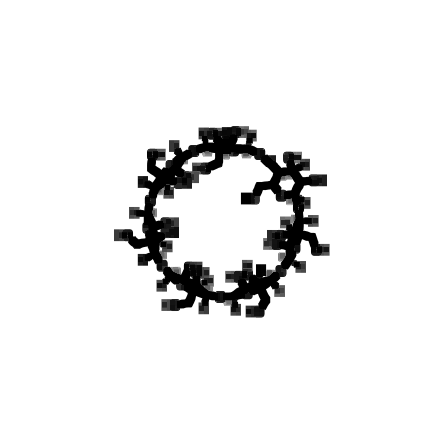 OCC1O[C@@H]2O[C@@H]3C(CO)O[C@H](O[C@@H]4C(CO)O[C@@H](O[C@@H]5C(CO)O[C@@H](O[C@@H]6C(CO)O[C@@H](O[C@@H]7C(CO)O[C@H](O[C@@H]8C(CO)O[C@H](O[C@H]1[C@H](O)C2O)C(O)[C@H]8O)C(O)[C@H]7O)C(O)[C@H]6O)C(O)[C@H]5O)C(O)[C@H]4O)C(O)[C@H]3O